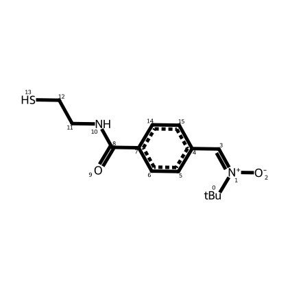 CC(C)(C)/[N+]([O-])=C\c1ccc(C(=O)NCCS)cc1